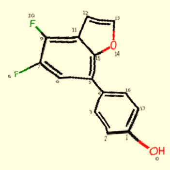 Oc1ccc(-c2cc(F)c(F)c3ccoc23)cc1